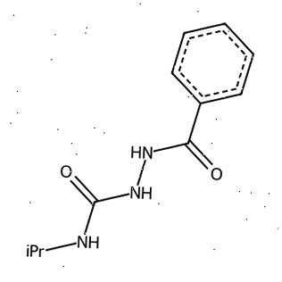 CC(C)NC(=O)NNC(=O)c1ccccc1